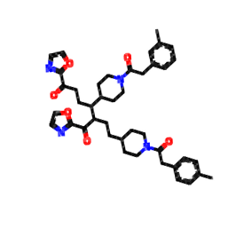 Cc1ccc(CC(=O)N2CCC(CCC(C(=O)c3ncco3)C(CCC(=O)c3ncco3)C3CCN(C(=O)Cc4cccc(C)c4)CC3)CC2)cc1